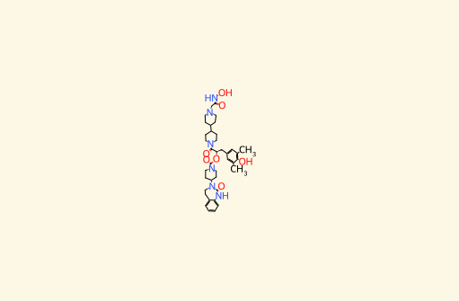 Cc1cc(C[C@@H](OC(=O)N2CCC(N3CCc4ccccc4NC3=O)CC2)C(=O)N2CCC(C3CCN(CC(=O)NO)CC3)CC2)cc(C)c1O